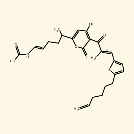 C=CCCCCc1ccc(/C=C(\C)C(=O)c2c(O)cc(C(C)CCC=CNC(=O)O)oc2=O)s1